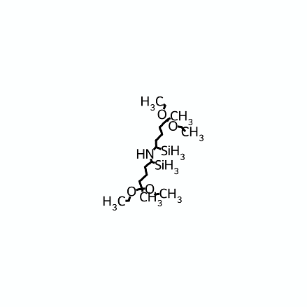 CCOC(C)(CCCC([SiH3])NC([SiH3])CCCC(C)(OCC)OCC)OCC